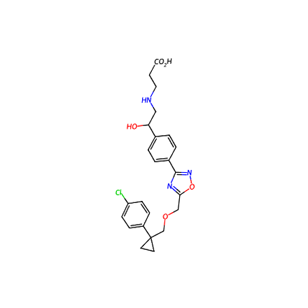 O=C(O)CCNCC(O)c1ccc(-c2noc(COCC3(c4ccc(Cl)cc4)CC3)n2)cc1